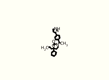 C=CCC1(c2ccccc2)CCN([C@@H](C)c2ccc(-c3cc[nH]n3)cc2)C(=O)O1